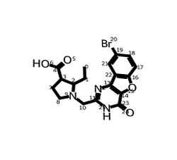 CCC1C(C(=O)O)CCN1Cc1nc2c(oc3ccc(Br)cc32)c(=O)[nH]1